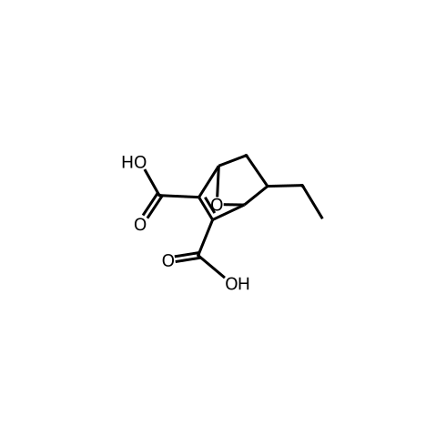 CCC1CC2OC1C(C(=O)O)=C2C(=O)O